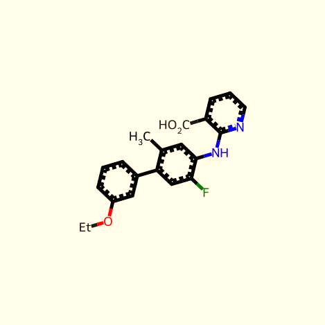 CCOc1cccc(-c2cc(F)c(Nc3ncccc3C(=O)O)cc2C)c1